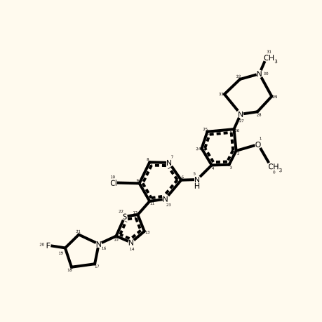 COc1cc(Nc2ncc(Cl)c(-c3cnc(N4CCC(F)C4)s3)n2)ccc1N1CCN(C)CC1